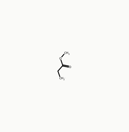 [CH2]CC(=O)OC